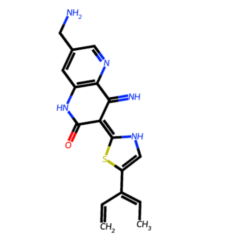 C=C/C(=C\C)C1=CN/C(=C2\C(=N)c3ncc(CN)cc3NC2=O)S1